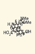 CN[C@@H]1CN(c2c(F)c(N)c3c(=O)c(C(=O)O)cn(-c4ccc(F)cc4F)c3c2F)C[C@@H]1OC.Cl